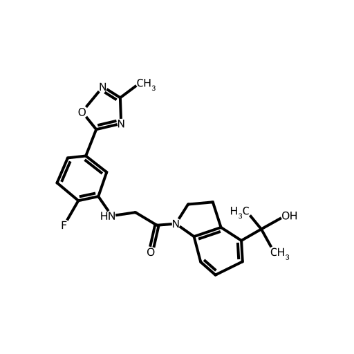 Cc1noc(-c2ccc(F)c(NCC(=O)N3CCc4c3cccc4C(C)(C)O)c2)n1